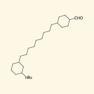 CCCCC1CCCC(CCCCCCCCCC2CCC(C=O)CC2)C1